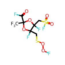 O=C(F)C1(C(F)(F)F)OC(F)(CSOOF)C(F)(CS(=O)(=O)F)O1